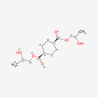 CC(O)COC(=O)[C@H]1CC[C@@H](C(=O)OCC(C)O)CC1